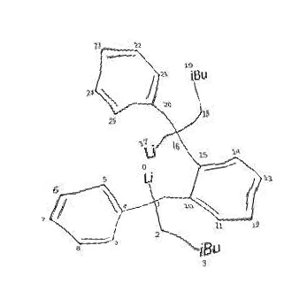 [Li][C](CC(C)CC)(c1ccccc1)c1ccccc1[C]([Li])(CC(C)CC)c1ccccc1